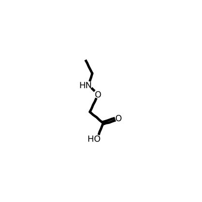 CCNOCC(=O)O